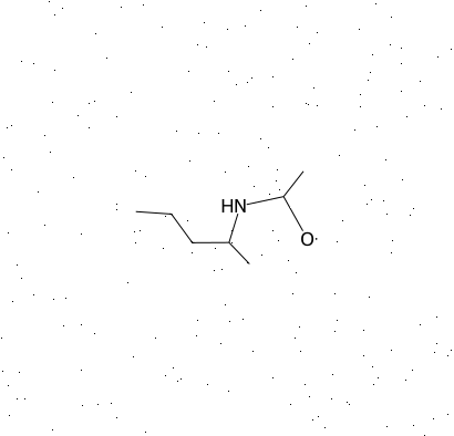 CCCC(C)NC(C)[O]